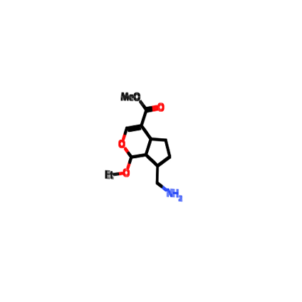 CCOC1OC=C(C(=O)OC)C2CCC(CN)C12